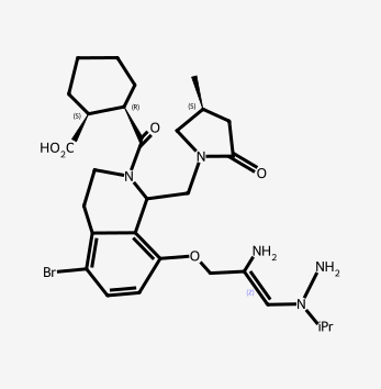 CC(C)N(N)/C=C(\N)COc1ccc(Br)c2c1C(CN1C[C@@H](C)CC1=O)N(C(=O)[C@@H]1CCCC[C@@H]1C(=O)O)CC2